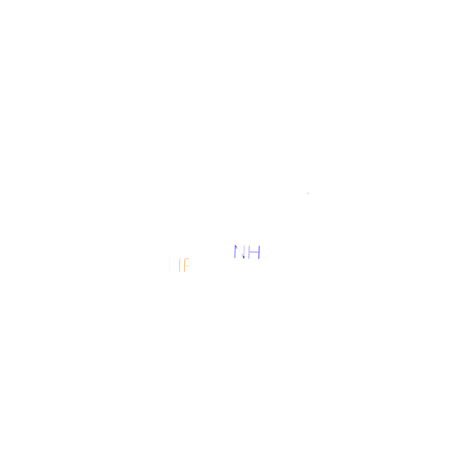 CPNC(C)C